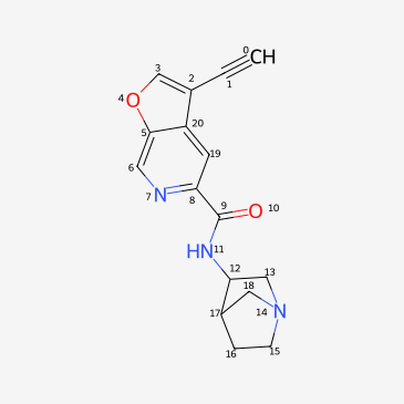 C#Cc1coc2cnc(C(=O)NC3CN4CCC3C4)cc12